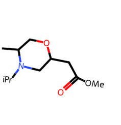 COC(=O)CC1CN(C(C)C)C(C)CO1